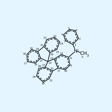 CN(c1ccccc1)c1ccc2c(c1)C1(c3ccccc3-c3ccccc31)c1ccccc1-2